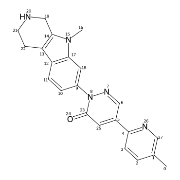 Cc1ccc(-c2cnn(-c3ccc4c5c(n(C)c4c3)CNCC5)c(=O)c2)nc1